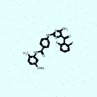 COc1ccc(C)c(NC(=O)c2ccc(Nc3nc(N)c(C(=O)c4c(F)cccc4F)s3)cc2)c1